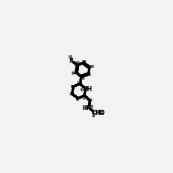 O=CNCC1CCCC(c2cccc(F)c2)N1